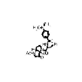 CC(=O)N1CC(=O)[C@@H]2[C@H]1CCN2C(=O)[C@H](CC(C)C)NC(=O)c1ccc(N(C)C)cc1